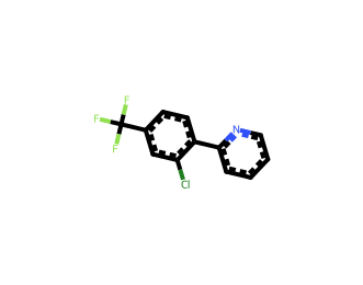 FC(F)(F)c1ccc(-c2ccccn2)c(Cl)c1